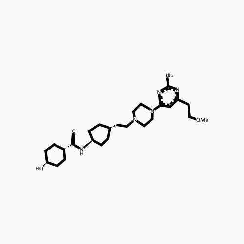 COCCc1cc(N2CCN(CC[C@H]3CC[C@H](NC(=O)[C@H]4CC[C@@H](O)CC4)CC3)CC2)nc(C(C)(C)C)n1